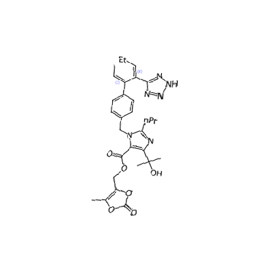 C/C=C(\C(=C/CC)c1nn[nH]n1)c1ccc(Cn2c(CCC)nc(C(C)(C)O)c2C(=O)OCc2oc(=O)oc2C)cc1